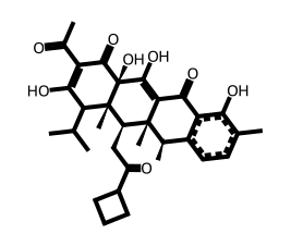 CC(=O)C1=C(O)C(C(C)C)[C@@]2(C)[C@H](CC(=O)C3CCC3)[C@]3(C)C(=C(O)[C@@]2(O)C1=O)C(=O)c1c(ccc(C)c1O)[C@H]3C